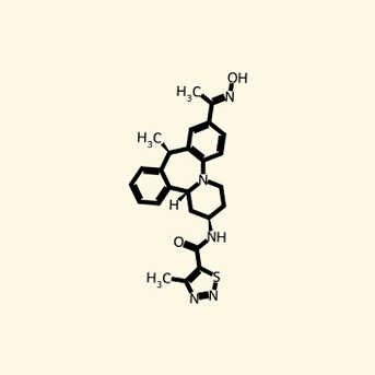 C/C(=N\O)c1ccc2c(c1)[C@H](C)c1ccccc1[C@H]1C[C@H](NC(=O)c3snnc3C)CCN21